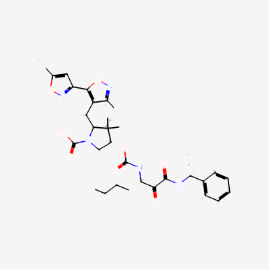 CCCC[C@H](NC(=O)O[C@@H]1CN(C(=O)O)C(Cc2c(C)noc2-c2cc(C)on2)C1(C)C)C(=O)C(=O)N[C@H](C)c1ccccc1